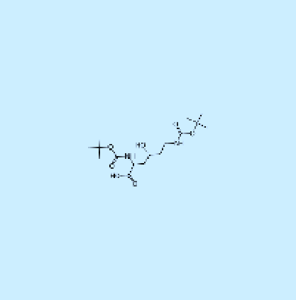 CC(C)(C)OC(=O)NCC[C@@H](O)C[C@H](NC(=O)OC(C)(C)C)C(=O)O